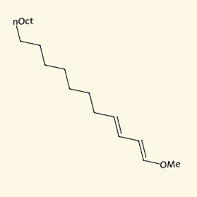 [CH2]O/C=C/C=C/CCCCCCCCCCCCCCC